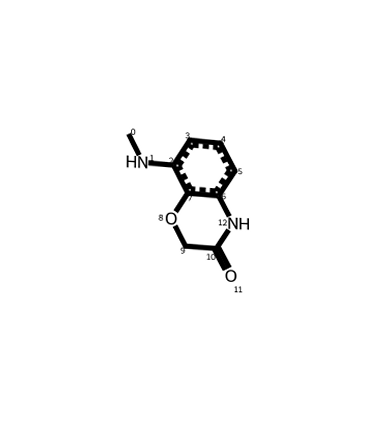 CNc1cccc2c1OCC(=O)N2